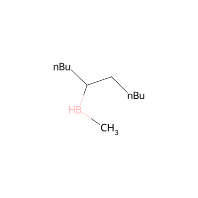 CBC(CCCC)CCCCC